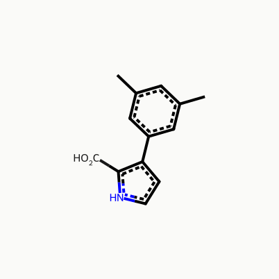 Cc1cc(C)cc(-c2cc[nH]c2C(=O)O)c1